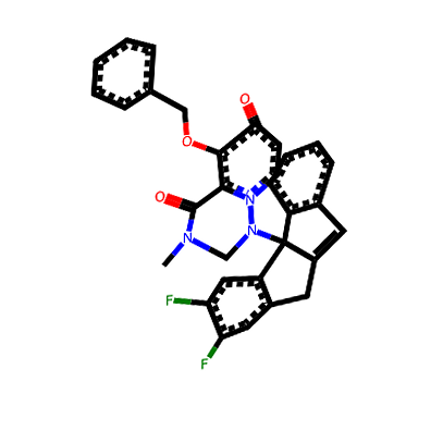 CN1CN(C23C(=Cc4ccccc42)Cc2cc(F)c(F)cc23)n2ccc(=O)c(OCc3ccccc3)c2C1=O